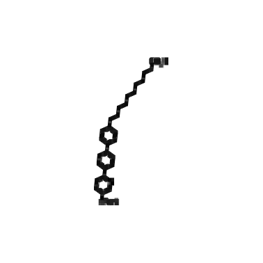 CCCCCc1ccc(-c2ccc(-c3ccc(CCCCCCCCCCC(=O)O)cc3)cc2)nc1